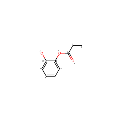 CCC(=O)Oc1ccccc1[O]